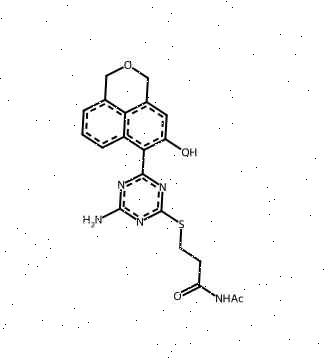 CC(=O)NC(=O)CCSc1nc(N)nc(-c2c(O)cc3c4c(cccc24)COC3)n1